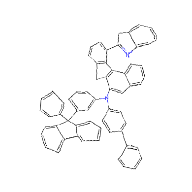 c1ccc(-c2ccc(N(c3cccc(C4(c5ccccc5)c5ccccc5-c5ccccc54)c3)c3cc4ccccc4c4c3Cc3cccc(C5=Nc6ccccc6C5)c3-4)cc2)cc1